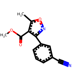 COC(=O)c1c(-c2cccc(C#N)c2)noc1C